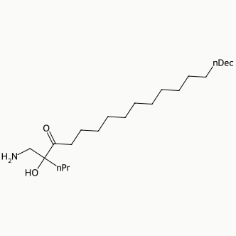 CCCCCCCCCCCCCCCCCCCCCC(=O)C(O)(CN)CCC